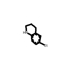 CCc1ccc2c(c1)CCCN2